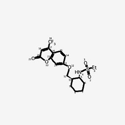 CCS(=O)(=O)N[C@@H]1CCCC[C@H]1COc1ccc2c(C(F)(F)F)cc(=O)oc2c1